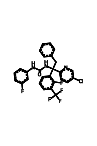 O=C(Nc1cccc(F)c1)NC(Cc1ccccc1)(c1ccc(Cl)cn1)c1cccc(C(F)(F)F)c1F